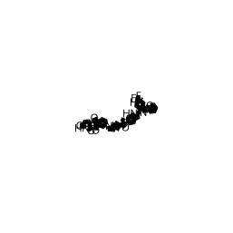 CN(C(=O)C1CC2(CCN(c3ccc4c(c3)C(=O)N(C3CCC(=O)NC3=O)C4=O)C2)C1)c1ccc2cc(-c3nn(N4C=CC=CO4)c4c3C[C@@H]3C(F)(F)[C@]3(C)C4)[nH]c2c1